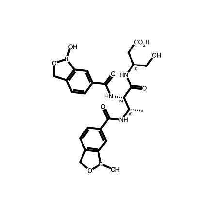 C[C@H](NC(=O)c1ccc2c(c1)B(O)OC2)[C@H](NC(=O)c1ccc2c(c1)B(O)OC2)C(=O)N[C@H](CO)CC(=O)O